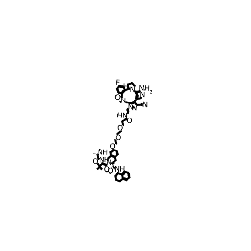 CN[C@@H](C)C(=O)N[C@H](C(=O)N1Cc2cc(OCCOCCOCCC(=O)NCCn3nc(C#N)c4c3CN(C)C(=O)c3ccc(F)cc3[C@H]3CCCN3c3cc-4cnc3N)ccc2C[C@H]1C(=O)N[C@@H]1CCCc2ccccc21)C(C)(C)C